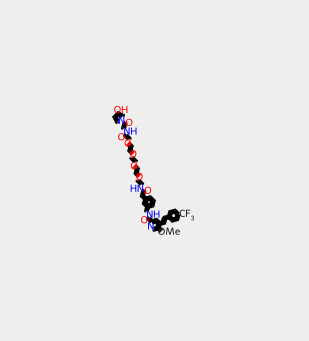 COc1cnc(C(=O)NCc2cccc(CC(=O)NCCOCCOCCOCCOCC(=O)NCC(=O)N3CC[C@@H](O)C3)c2)cc1/C=C/C1CCC(C(F)(F)F)CC1